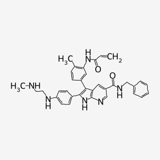 C=CC(=O)Nc1cc(-c2c(-c3ccc(NCCNC)cc3)[nH]c3ncc(C(=O)NCc4ccccc4)cc23)ccc1C